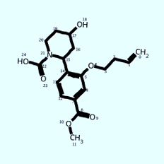 C=CCCOc1cc(C(=O)OC)ccc1C1CC(O)CCN1C(=O)O